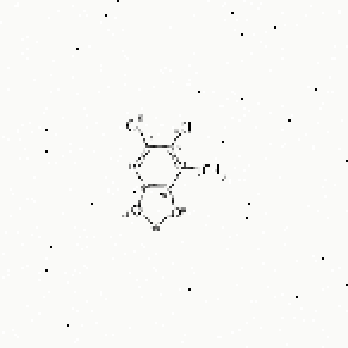 Cc1c(Cl)c(Cl)cc2c1OCO2